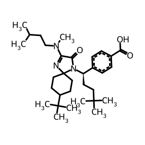 CC(C)CCN(C)C1=NC2(CCC(C(C)(C)C)CC2)N([C@H](CCC(C)(C)C)c2ccc(C(=O)O)cc2)C1=O